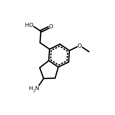 COc1cc(CC(=O)O)c2c(c1)CC(N)C2